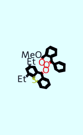 CCc1cc(CC)c2sc3ccccc3c(=O)c2c1.COC(=O)c1ccccc1C(=O)c1ccccc1